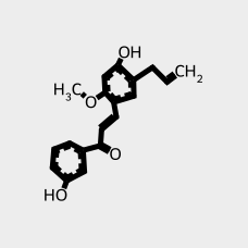 C=CCc1cc(/C=C/C(=O)c2cccc(O)c2)c(OC)cc1O